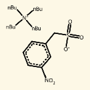 CCCC[N+](CCCC)(CCCC)CCCC.O=[N+]([O-])c1cccc(CS(=O)(=O)[O-])c1